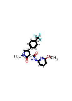 COc1cccc(NC(=O)[C@@H]2C(=O)N(C)C[C@H]2c2ccc(C(F)(F)F)cc2)n1